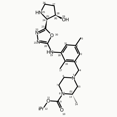 Cc1cc(CN2CCN(C(=O)OC(C)C)[C@@H](C)C2)c(C)c(Nc2nnc([C@H]3NCC[C@H]3O)o2)c1